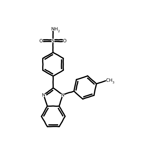 Cc1ccc(-n2c(-c3ccc(S(N)(=O)=O)cc3)nc3ccccc32)cc1